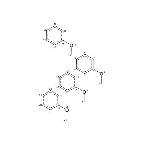 COc1ccccc1.COc1ccccc1.COc1ccccc1.COc1ccccc1